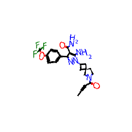 CC#CC(=O)N1CC[C@]2(C1)C[C@H](n1nc(-c3ccc(OC(F)(F)F)cc3)c(C(N)=O)c1N)C2